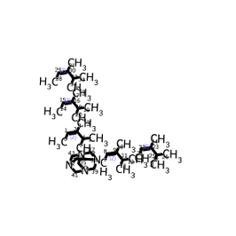 C/C=C(/C)C(C)C.C/C=C(/C)C(C)C.C/C=C(/C)C(C)C.C/C=C(/C)C(C)C.C/C=C(/C)C(C)C.C1N2CN3CN1CN(C2)C3